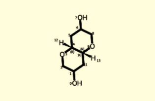 OC1CO[C@@H]2CC(O)CO[C@@H]2C1